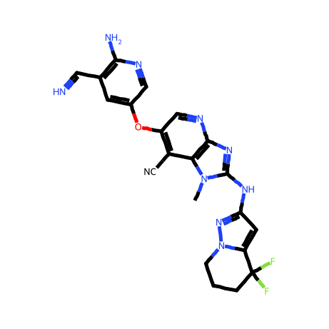 Cn1c(Nc2cc3n(n2)CCCC3(F)F)nc2ncc(Oc3cnc(N)c(C=N)c3)c(C#N)c21